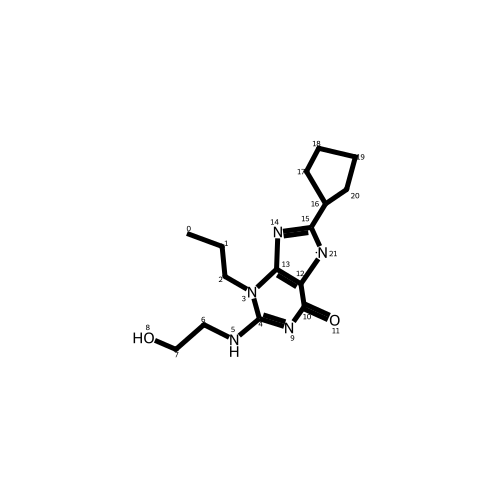 CCCn1c(NCCO)nc(=O)c2c1N=C(C1CCCC1)[N]2